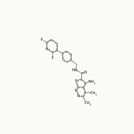 Cc1nnc2sc(C(=O)NCc3ccc(-c4ccc(F)nc4F)cc3)c(N)c2c1C